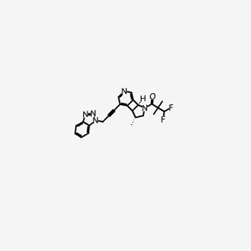 C[C@H]1CN(C(=O)C(C)(C)C(F)F)[C@@H]2c3cncc(C#CCn4nnc5ccccc54)c3C21